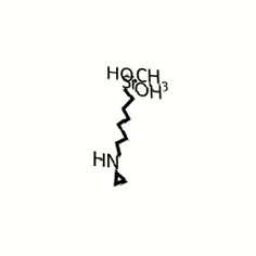 C[Si](O)(O)CCCCCCCCNC1CC1